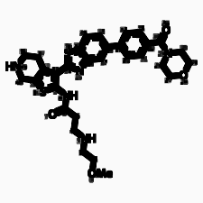 COCCNCCC(=O)Nc1sc2c(c1-c1nc3cc(-c4ccc(C(=O)N5CCOCC5)cc4)ccc3s1)CCNC2